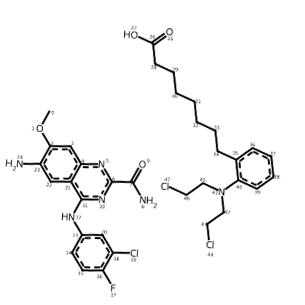 COc1cc2nc(C(N)=O)nc(Nc3ccc(F)c(Cl)c3)c2cc1N.O=C(O)CCCCCCCc1ccccc1N(CCCl)CCCl